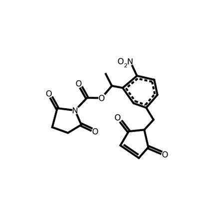 CC(OC(=O)N1C(=O)CCC1=O)c1cc(CC2C(=O)C=CC2=O)ccc1[N+](=O)[O-]